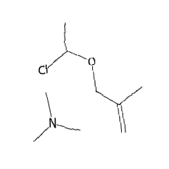 C=C(C)COC(C)Cl.CN(C)C